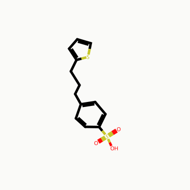 O=S(=O)(O)c1ccc(CCCc2cccs2)cc1